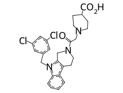 O=C(O)C1CCN(CC(=O)N2CCc3c(n(Cc4cc(Cl)cc(Cl)c4)c4ccccc34)C2)CC1